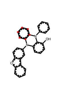 Oc1cccc(N(c2ccccc2)c2ccc3oc4ccccc4c3c2)c1N(c1ccccc1)c1ccccc1